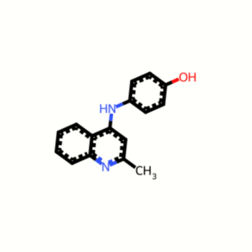 Cc1cc(Nc2ccc(O)cc2)c2ccccc2n1